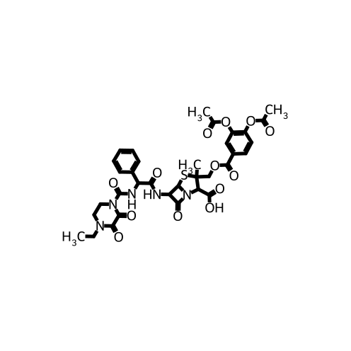 CCN1CCN(C(=O)NC(C(=O)NC2C(=O)N3C2SC(C)(COC(=O)c2ccc(OC(C)=O)c(OC(C)=O)c2)C3C(=O)O)c2ccccc2)C(=O)C1=O